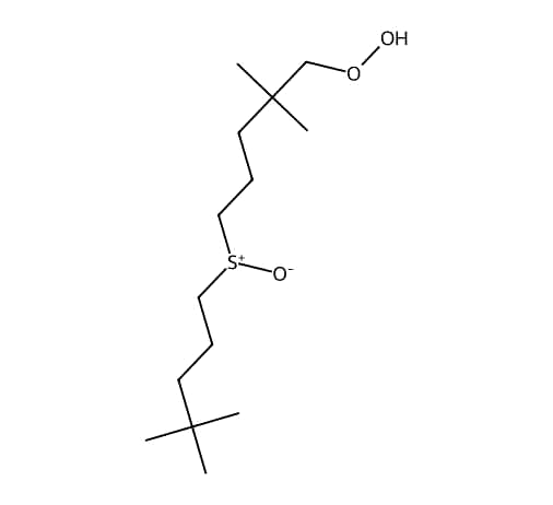 CC(C)(C)CCC[S+]([O-])CCCC(C)(C)COO